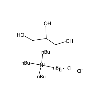 CCCC[N+](CCCC)(CCCC)CCCC.OCC(O)CO.[Cl-].[Cl-].[Li+]